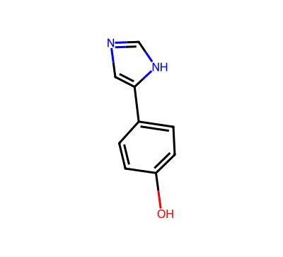 Oc1ccc(-c2cnc[nH]2)cc1